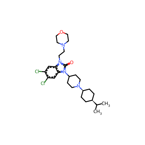 CC(C)[C@H]1CC[C@@H](N2CCC(n3c(=O)n(CCN4CCOCC4)c4cc(Cl)c(Cl)cc43)CC2)CC1